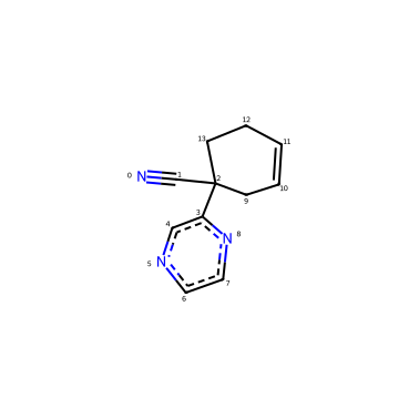 N#CC1(c2cnccn2)CC=CCC1